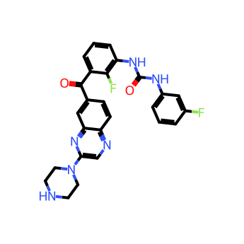 O=C(Nc1cccc(F)c1)Nc1cccc(C(=O)c2ccc3ncc(N4CCNCC4)nc3c2)c1F